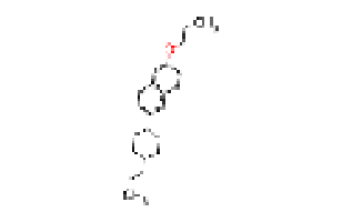 CCCOc1ccc2cc([C@H]3CC[C@H](CCC)CC3)ccc2c1